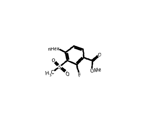 CCCCCCc1ccc(C(=O)OC)c(F)c1S(C)(=O)=O